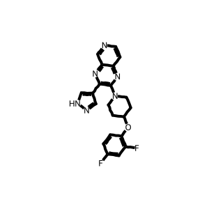 Fc1ccc(OC2CCN(c3nc4ccncc4nc3-c3cn[nH]c3)CC2)c(F)c1